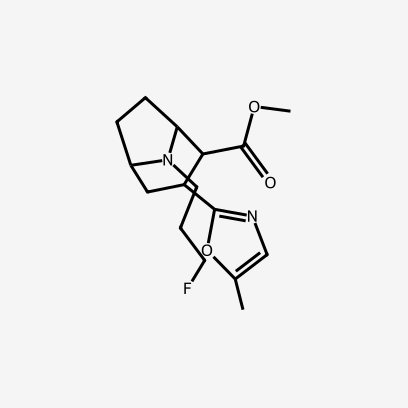 COC(=O)C1C(c2ncc(C)o2)CC2CCC1N2CCCF